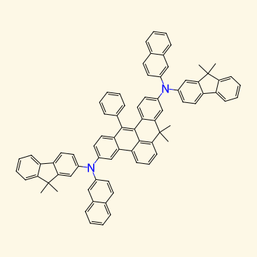 CC1(C)c2ccccc2-c2ccc(N(c3ccc4c(c3)C(C)(C)c3cccc5c3c-4c(-c3ccccc3)c3ccc(N(c4ccc6c(c4)C(C)(C)c4ccccc4-6)c4ccc6ccccc6c4)cc35)c3ccc4ccccc4c3)cc21